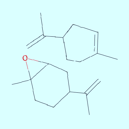 C=C(C)C1CC=C(C)CC1.C=C(C)C1CCC2(C)OC2C1